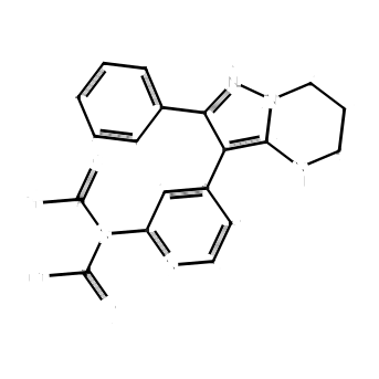 CC(C)C(=O)N(C(=O)C(C)C)c1cc(-c2c(-c3ccccc3)nn3c2NCCC3)ccn1